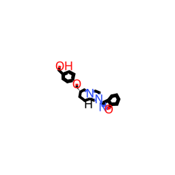 OCc1ccc(OC[C@H]2CC[C@H]3CN(c4noc5ccccc45)CCN3C2)cc1